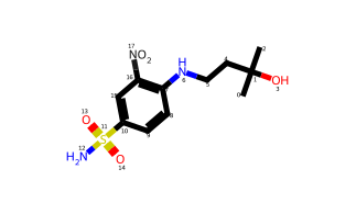 CC(C)(O)CCNc1ccc(S(N)(=O)=O)cc1[N+](=O)[O-]